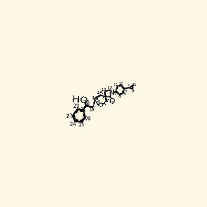 O=C1N(c2ccc(C3CC3)cc2)CCC12CCN(CC(O)c1ccccc1)CC2